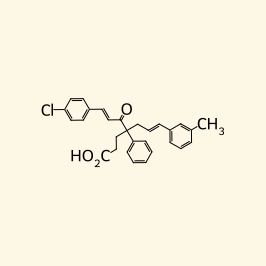 Cc1cccc(/C=C/CC(CCC(=O)O)(C(=O)/C=C/c2ccc(Cl)cc2)c2ccccc2)c1